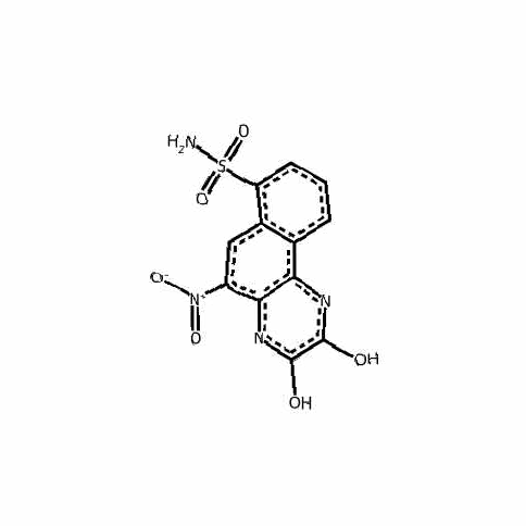 NS(=O)(=O)c1cccc2c1cc([N+](=O)[O-])c1nc(O)c(O)nc12